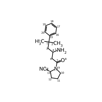 CC(C)(CC(N)CC(=O)N1CCC[C@H]1C#N)c1ccccc1